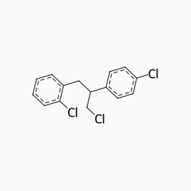 ClCC(Cc1ccccc1Cl)c1ccc(Cl)cc1